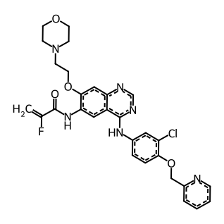 C=C(F)C(=O)Nc1cc2c(Nc3ccc(OCc4ccccn4)c(Cl)c3)ncnc2cc1OCCN1CCOCC1